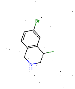 FC1CNCc2ccc(Br)cc21